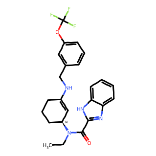 CCN(C(=O)c1nc2ccccc2[nH]1)[C@@H]1C=C(NCc2cccc(OC(F)(F)F)c2)CCC1